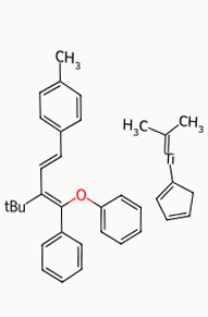 C[C](C)=[Ti][C]1=CC=CC1.Cc1ccc(C=CC(=C(Oc2ccccc2)c2ccccc2)C(C)(C)C)cc1